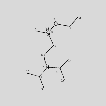 CCO[SiH](C)CCN(C(C)C)C(C)C